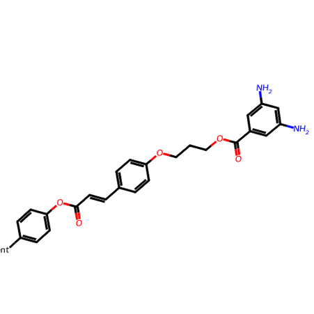 CCCCCc1ccc(OC(=O)C=Cc2ccc(OCCCOC(=O)c3cc(N)cc(N)c3)cc2)cc1